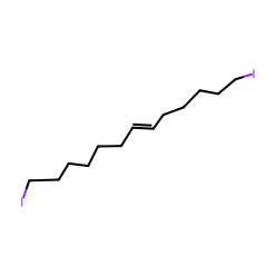 ICCCCCC=CCCCCCCI